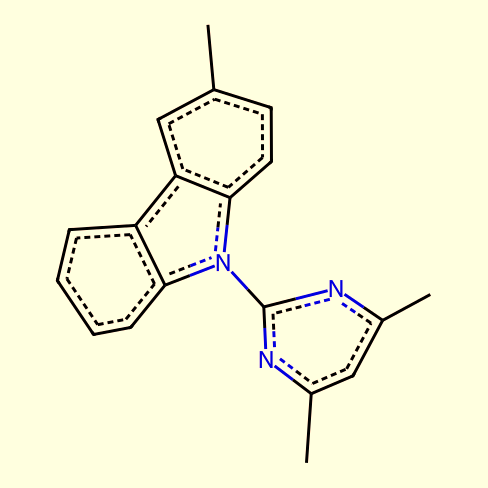 Cc1ccc2c(c1)c1ccccc1n2-c1nc(C)cc(C)n1